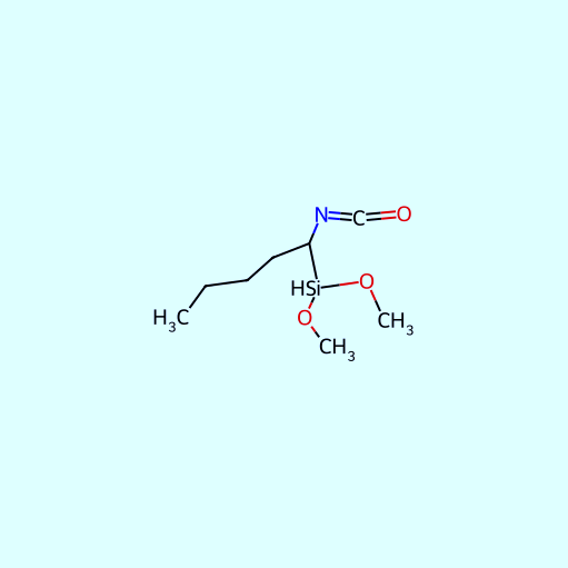 CCCCC(N=C=O)[SiH](OC)OC